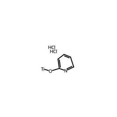 Cl.Cl.[Ti][O]c1ccccn1